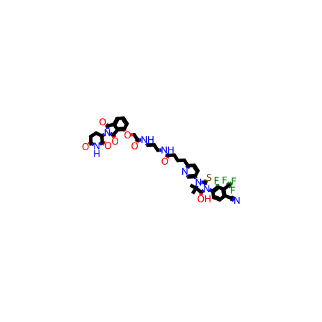 CC1(C)C(O)N(c2ccc(C#N)c(C(F)(F)F)c2F)C(=S)N1c1ccc(CCCC(=O)NCCCNC(=O)COc2cccc3c2C(=O)N(C2CCC(=O)NC2=O)C3=O)nc1